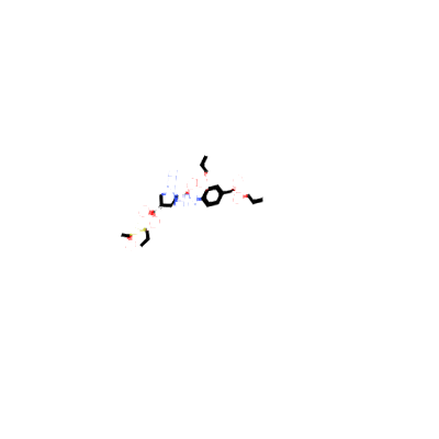 C=CCOC(=O)c1ccc(NC(=O)[C@@H]2C[C@H](C(=O)OC(C=C)SC(C)=O)CN2)c(OCC=C)c1